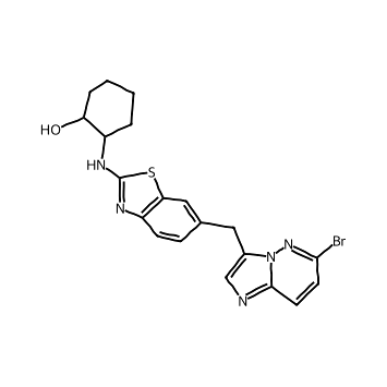 OC1CCCCC1Nc1nc2ccc(Cc3cnc4ccc(Br)nn34)cc2s1